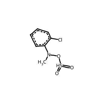 CN(O[SH](=O)=O)c1ccccc1Cl